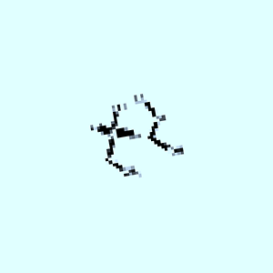 CCNCO.COS(=O)(=O)O